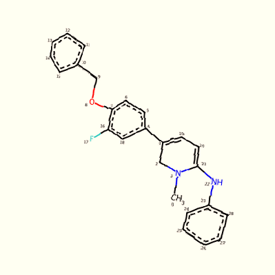 CN1CC(c2ccc(OCc3ccccc3)c(F)c2)=CC=C1Nc1ccccc1